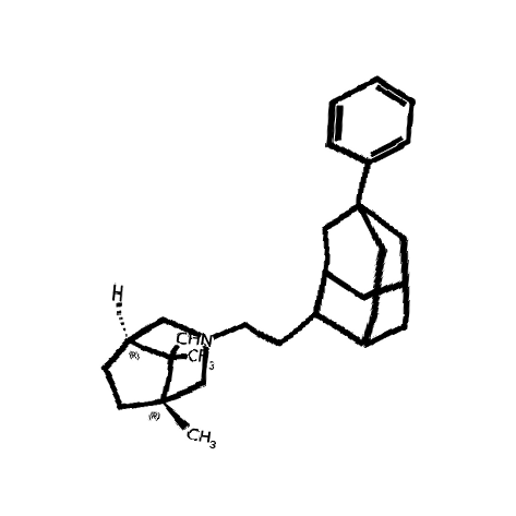 CC1(C)[C@H]2CC[C@@]1(C)CN(CCC1C3CC4CC1CC(c1ccccc1)(C4)C3)C2